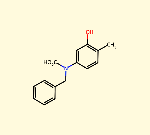 Cc1ccc(N(Cc2ccccc2)C(=O)O)cc1O